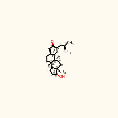 C=C(C)CC1C[C@H]2C(=CC1=O)CC[C@@H]1[C@@H]2CC[C@]2(C)[C@@H](O)CC[C@@H]12